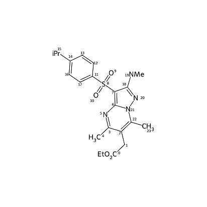 CCOC(=O)Cc1c(C)nc2c(S(=O)(=O)c3ccc(C(C)C)cc3)c(NC)nn2c1C